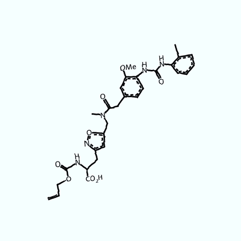 C=CCOC(=O)NC(Cc1cc(CN(C)C(=O)Cc2ccc(NC(=O)Nc3ccccc3C)c(OC)c2)on1)C(=O)O